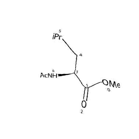 [CH2]OC(=O)[C@H](CC(C)C)NC(C)=O